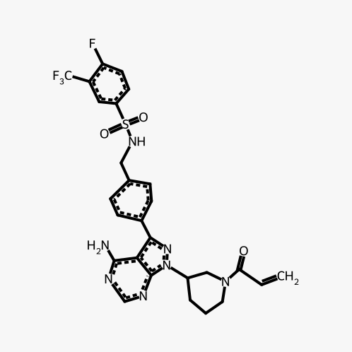 C=CC(=O)N1CCCC(n2nc(-c3ccc(CNS(=O)(=O)c4ccc(F)c(C(F)(F)F)c4)cc3)c3c(N)ncnc32)C1